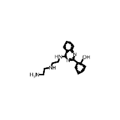 NCCNCCNc1nc(-c2ccccc2O)nc2ccccc12